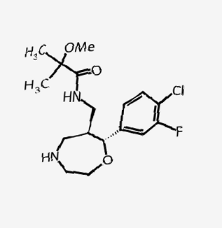 COC(C)(C)C(=O)NC[C@@H]1CNCCO[C@H]1c1ccc(Cl)c(F)c1